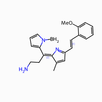 Bn1cccc1/C(CCN)=C1N=C(/C=C/c2ccccc2OC)C=C\1C